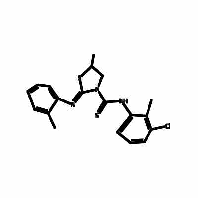 Cc1ccccc1N=C1SC(C)CN1C(=S)Nc1cccc(Cl)c1C